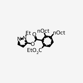 CCCCCCCCc1ccc(C(=O)OCC)c(C(=O)Oc2ccnn2CC)c1CCCCCCCC